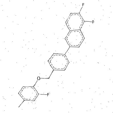 Cc1ccc(OCc2ccc(-c3ccc4c(F)c(F)ccc4c3)cc2)c(F)c1